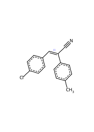 Cc1ccc(/C(C#N)=C\c2ccc(Cl)cc2)cc1